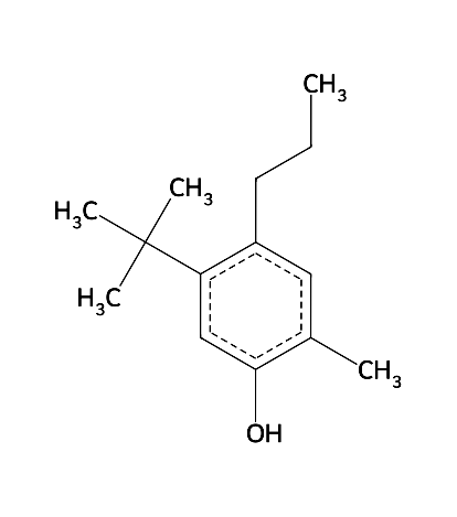 CCCc1cc(C)c(O)cc1C(C)(C)C